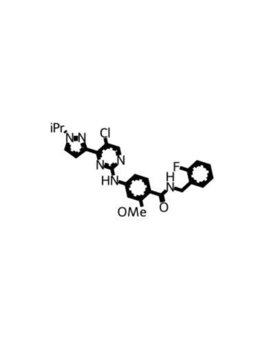 COc1cc(Nc2ncc(Cl)c(-c3ccn(C(C)C)n3)n2)ccc1C(=O)NCc1ccccc1F